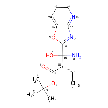 CC[C@H](C(=O)OC(C)(C)C)C(N)(O)c1nc2ncccc2o1